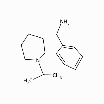 CC(C)N1CCCCC1.NCc1ccccc1